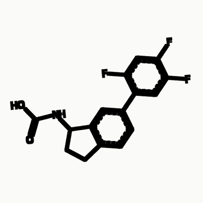 O=C(O)NC1CCc2ccc(-c3cc(F)c(F)cc3F)cc21